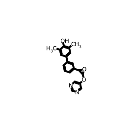 Cc1cc(-c2cccc(C3OC3Oc3cncnc3)c2)cc(C)c1O